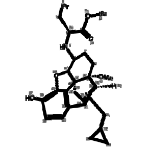 CO[C@@]12CCC(N[C@@H](CC(C)C)C(=O)OC(C)(C)C)C3Oc4c(O)ccc5c4[C@@]31CCN(CC1CC1)[C@@H]2C5